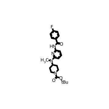 CN(c1cccc(NC(=O)c2ccc(F)cc2)n1)C1CCN(C(=O)OC(C)(C)C)CC1